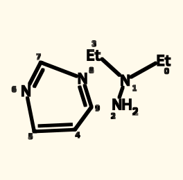 CCN(N)CC.c1cncnc1